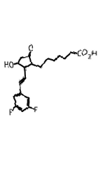 O=C(O)CCCCCCC1C(=O)CC(O)C1C=Cc1cc(F)cc(F)c1